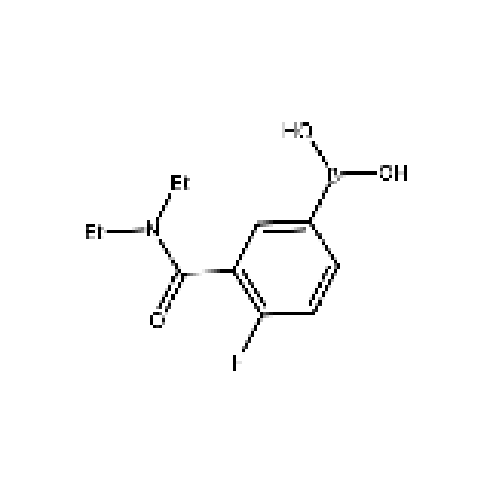 CCN(CC)C(=O)c1cc(B(O)O)ccc1F